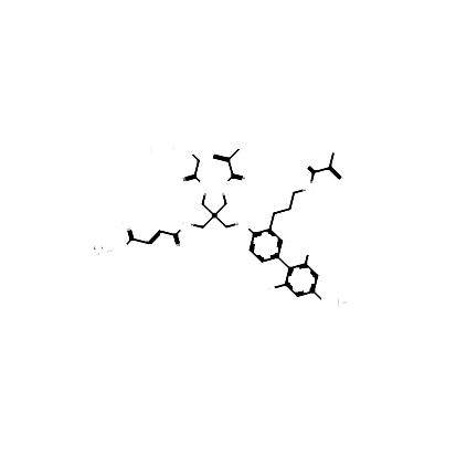 C=C(C)C(=O)OCCCc1cc(-c2c(F)cc(CCCCCCC)cc2F)ccc1OCC(COC(=O)/C=C/C(=O)OC)(COC(=O)CC(=O)OCC)COC(=O)C(=C)C